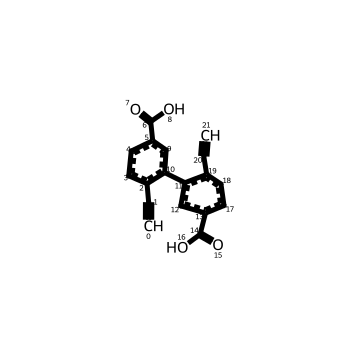 C#Cc1ccc(C(=O)O)cc1-c1cc(C(=O)O)ccc1C#C